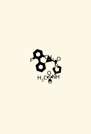 Cc1cccc(F)c1-c1ccccc1[C@@H]1C[C@H]1C(=O)N1CC[C@@H](NS(C)(=O)=O)C1